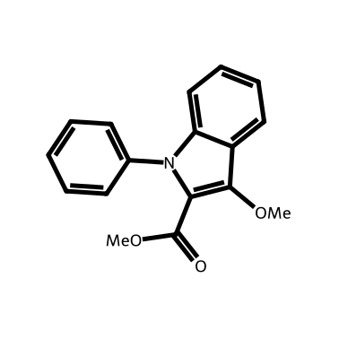 COC(=O)c1c(OC)c2ccccc2n1-c1ccccc1